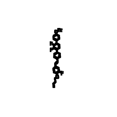 C=CCCOc1ccc(/C=C/c2ccc(-c3ccc(-c4ccc(OCC)cc4)c(F)c3F)cc2)cc1F